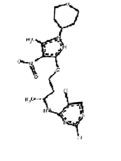 Cc1c([N+](=O)[O-])c(OCC[C@@H](C)Nc2nc(Cl)ncc2Cl)nn1C1CCOCC1